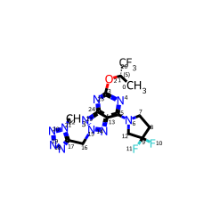 C[C@H](Oc1nc(N2CCC(F)(F)C2)c2nn(Cc3nnnn3C)nc2n1)C(F)(F)F